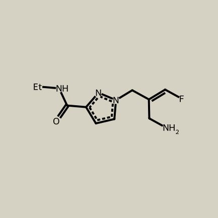 CCNC(=O)c1ccn(CC(=CF)CN)n1